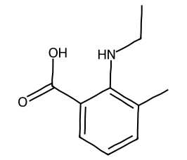 CCNc1c(C)cccc1C(=O)O